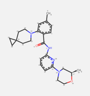 Cc1ccc(C(=O)Nc2cccc(N3CCO[C@H](C)C3)n2)c(N2CCC3(CC2)CC3)c1